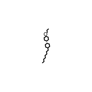 CCCCCCCCC1CCC([C@H]2CC[C@H](OCCC)CC2)CC1